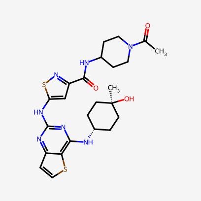 CC(=O)N1CCC(NC(=O)c2cc(Nc3nc(N[C@H]4CC[C@](C)(O)CC4)c4sccc4n3)sn2)CC1